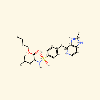 CCCCOC(=O)[C@H](CC(C)C)N(C)S(=O)(=O)c1ccc(Cc2nccc3[nH]c(C)nc23)cc1